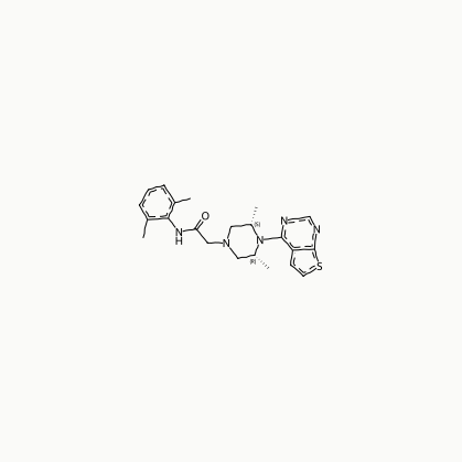 Cc1cccc(C)c1NC(=O)CN1C[C@@H](C)N(c2ncnc3sccc23)[C@@H](C)C1